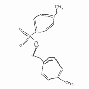 Cc1ccc(S(=O)(=O)O[I]c2ccc(O)cc2)cc1